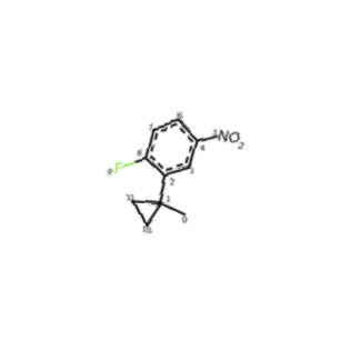 CC1(c2cc([N+](=O)[O-])ccc2F)CC1